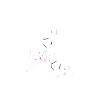 CCOC(=O)C(=O)N(C)C(C(=O)Nc1ccc([Si](C)(C)C)cc1)c1ccc(OC)cc1